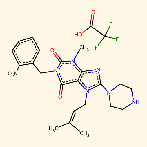 CC(C)=CCn1c(N2CCNCC2)nc2c1c(=O)n(Cc1ccccc1[N+](=O)[O-])c(=O)n2C.O=C(O)C(F)(F)F